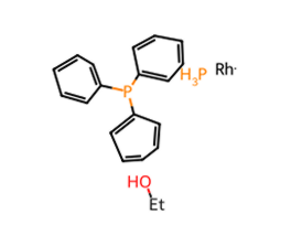 CCO.P.[Rh].c1ccc(P(c2ccccc2)c2ccccc2)cc1